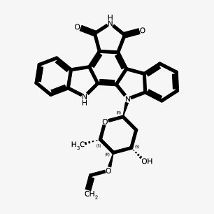 C=CO[C@H]1[C@H](C)O[C@@H](n2c3ccccc3c3c4c(c5c6ccccc6[nH]c5c32)C(=O)NC4=O)C[C@@H]1O